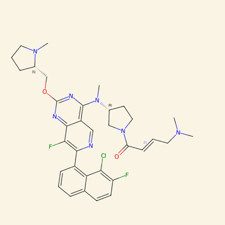 CN(C)C/C=C/C(=O)N1CC[C@@H](N(C)c2nc(OC[C@@H]3CCCN3C)nc3c(F)c(-c4cccc5ccc(F)c(Cl)c45)ncc23)C1